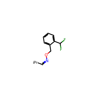 CC(C)/[C]=N\OCc1ccccc1C(F)F